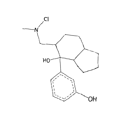 CN(Cl)CC1CCC2CCCC2C1(O)c1cccc(O)c1